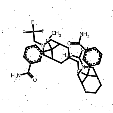 COC1(c2cccc(C(N)=O)c2)C2CC(COC3(c4cccc(C(N)=O)c4)C4CCCC3CN(C(C)C)C4)CC1CN(CC(F)(F)F)C2